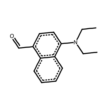 CCN(CC)c1ccc(C=O)c2ccccc12